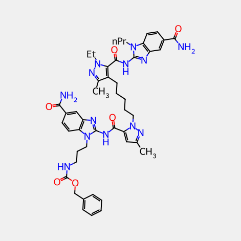 CCCn1c(NC(=O)c2c(CCCCCn3nc(C)cc3C(=O)Nc3nc4cc(C(N)=O)ccc4n3CCCNC(=O)OCc3ccccc3)c(C)nn2CC)nc2cc(C(N)=O)ccc21